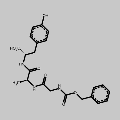 C[C@H](NC(=O)CNC(=O)OCc1ccccc1)C(=O)N[C@@H](Cc1ccc(O)cc1)C(=O)O